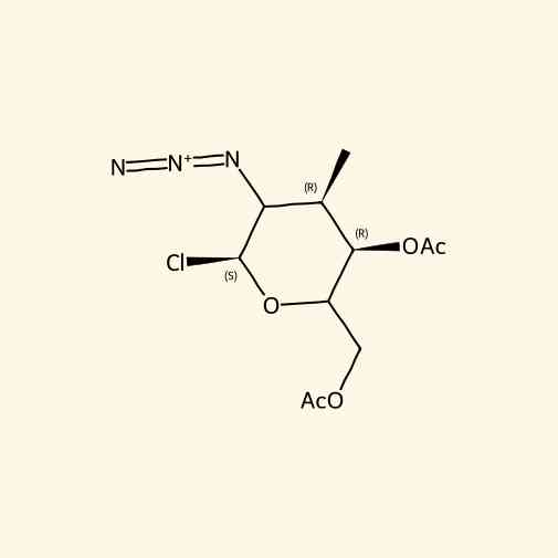 CC(=O)OCC1O[C@@H](Cl)C(N=[N+]=[N-])[C@@H](C)[C@H]1OC(C)=O